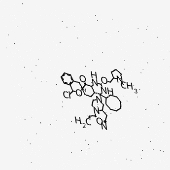 C=CC(=O)N1CCN(C2(C3CCCCCCC3)NC(OCC3CCCN3C)NC3C(=O)[C@@]4(CCC32)Cc2ccccc2C(Cl)O4)CC1CC#N